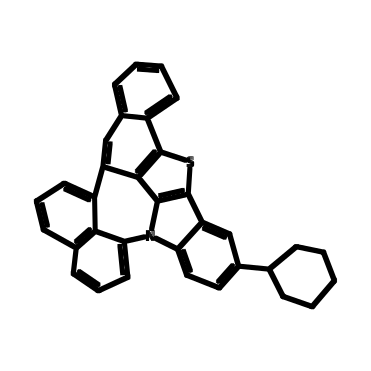 c1ccc2c(c1)cc1c3cccc4cccc(c43)n3c4ccc(C5CCCCC5)cc4c4sc2c1c43